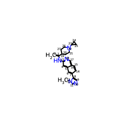 C=C(Nc1cc2cc(-c3cncn3C)ccc2cn1)C1CCN(C2CC2)CC1